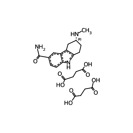 CN[C@@H]1CCc2[nH]c3ccc(C(N)=O)cc3c2C1.O=C(O)CCC(=O)O.O=C(O)CCC(=O)O